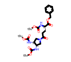 CC(C)(C)OC(=O)N[C@@H](CCC(=O)N1C[C@H](NC(=O)OC(C)(C)C)[C@H](NC(=O)OC(C)(C)C)C1)C(=O)OCc1ccccc1